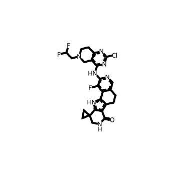 O=C1NCC2(CC2)c2[nH]c3c(c21)CCc1cnc(Nc2nc(Cl)nc4c2CN(CC(F)F)CC4)c(F)c1-3